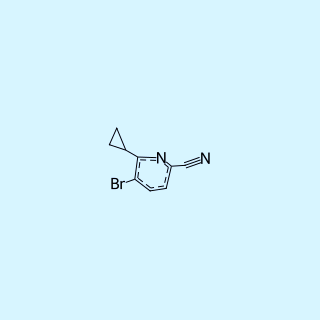 N#Cc1ccc(Br)c(C2CC2)n1